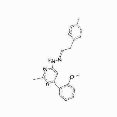 COc1ccccc1-c1cc(NN=CCc2ccc(C)cc2)nc(C)n1